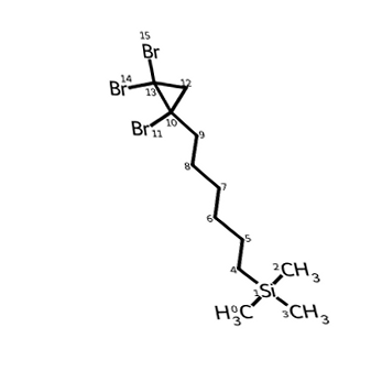 C[Si](C)(C)CCCCCCC1(Br)CC1(Br)Br